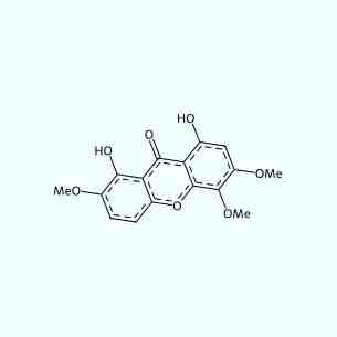 COc1cc(O)c2c(=O)c3c(O)c(OC)ccc3oc2c1OC